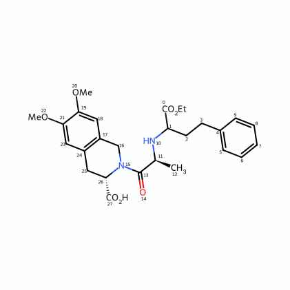 CCOC(=O)C(CCc1ccccc1)N[C@@H](C)C(=O)N1Cc2cc(OC)c(OC)cc2C[C@H]1C(=O)O